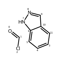 O=CCl.c1ccc2[nH]ncc2c1